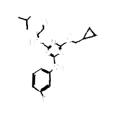 CC(C)C[C@H](CO)Nc1nc(NCC2CC2)nc(Nc2cccc(F)c2)n1